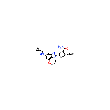 COc1ccc(-c2nc3cc(NCC4CC4)cc4c3n2CCCO4)cc1C(N)=O